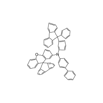 c1ccc(-c2ccc(N(c3cccc(C4(c5ccccc5)c5ccccc5-c5ccccc54)c3)c3ccc4c(c3)C3(c5ccccc5O4)c4ccccc4-c4ccccc43)cc2)cc1